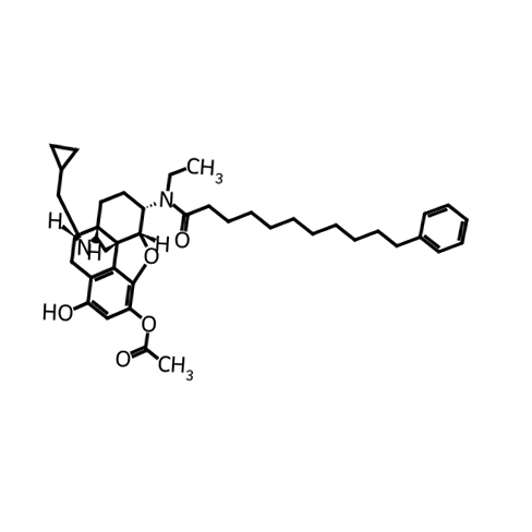 CCN(C(=O)CCCCCCCCCCc1ccccc1)[C@H]1CC[C@H]2[C@H]3Cc4c(O)cc(OC(C)=O)c5c4[C@@]2(CCN3CC2CC2)[C@H]1O5